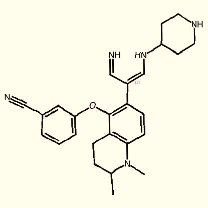 CC1CCc2c(ccc(/C(C=N)=C/NC3CCNCC3)c2Oc2cccc(C#N)c2)N1C